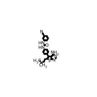 CN(C)CCc1sc2ncnc(N)c2c1-c1ccc(NC(=O)Nc2cccc(C#N)c2)cc1